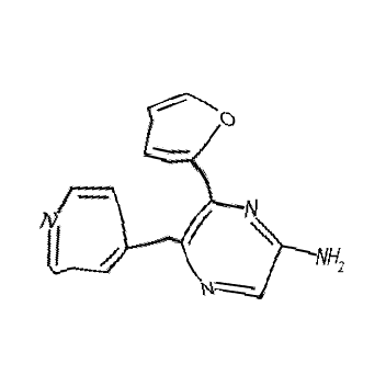 Nc1cnc(-c2ccncc2)c(-c2ccco2)n1